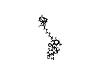 CN(CCCCCCCSc1ccc(F)c2c1C(=O)N(C1CCC(=O)NC1=O)C2=O)C12CC3CC(CC(C3)C1)C2